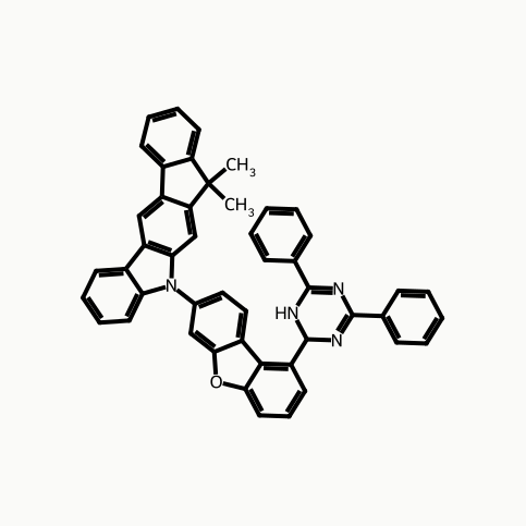 CC1(C)c2ccccc2-c2cc3c4ccccc4n(-c4ccc5c(c4)oc4cccc(C6N=C(c7ccccc7)N=C(c7ccccc7)N6)c45)c3cc21